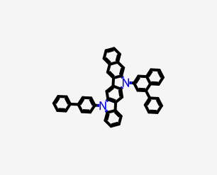 c1ccc(-c2ccc(-n3c4ccccc4c4cc5c(cc43)c3cc4ccccc4cc3n5-c3cc(-c4ccccc4)c4ccccc4c3)cc2)cc1